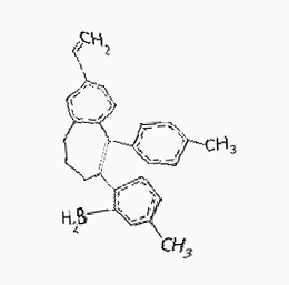 Bc1cc(C)ccc1C1=C(c2ccc(C)cc2)c2ccc(C=C)cc2CCC1